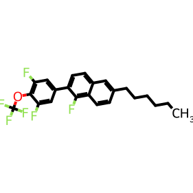 CCCCCCc1ccc2c(F)c(-c3cc(F)c(OC(F)(F)F)c(F)c3)ccc2c1